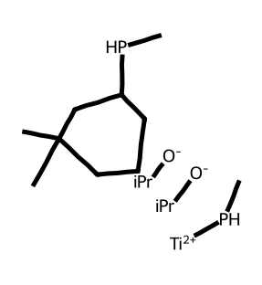 CC(C)[O-].CC(C)[O-].CPC1CCCC(C)(C)C1.C[PH][Ti+2]